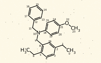 CCc1ccc(CC)c(CN(Cc2ccccc2)c2ccc(OC)cc2)c1